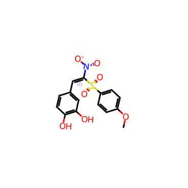 COc1ccc(S(=O)(=O)/C(=C\c2ccc(O)c(O)c2)[N+](=O)[O-])cc1